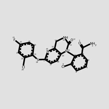 NC(=O)c1cccc(Cl)c1N1C(=O)NCc2nc(Sc3ccc(F)cc3Cl)ccc21